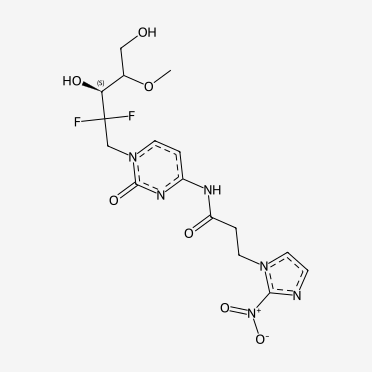 COC(CO)[C@H](O)C(F)(F)Cn1ccc(NC(=O)CCn2ccnc2[N+](=O)[O-])nc1=O